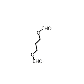 O=[C]OCCCOC=O